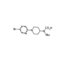 CC(C)(C)N(C(=O)O)C1CCN(c2ccc(Br)cn2)CC1